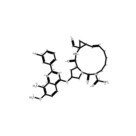 COc1ccc2c(OC3CC4C(=O)NC5([C]=O)CC5/C=C/CCCCN(C(N)=O)C(=O)N4C3)nc(-c3cccc(F)c3)nc2c1C